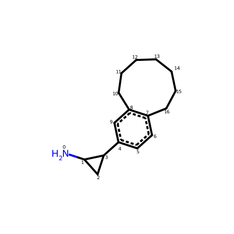 NC1CC1c1ccc2c(c1)CCCCCCC2